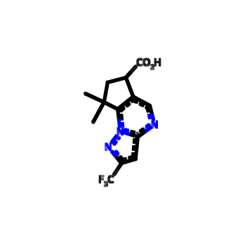 CC1(C)CC(C(=O)O)c2cnc3cc(C(F)(F)F)nn3c21